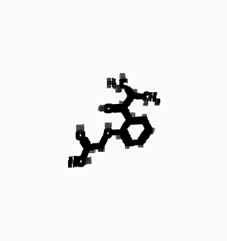 CC(C)C(=O)c1ccccc1OCC(=O)O